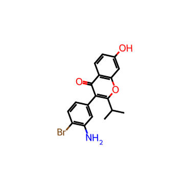 CC(C)c1oc2cc(O)ccc2c(=O)c1-c1ccc(Br)c(N)c1